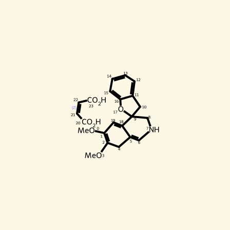 COC1=C(OC)CC2=CNCC3(Cc4ccccc4O3)C2=C1.O=C(O)/C=C\C(=O)O